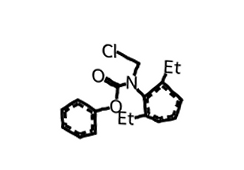 CCc1cccc(CC)c1N(CCl)C(=O)Oc1ccccc1